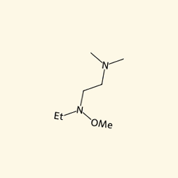 CCN(CCN(C)C)OC